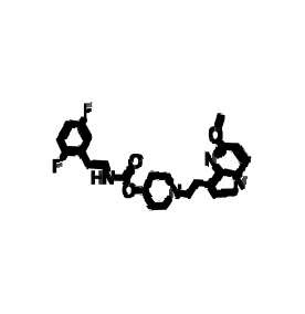 COc1ccc2nccc(CCN3CCC(OC(=O)NC=Cc4cc(F)ccc4F)CC3)c2n1